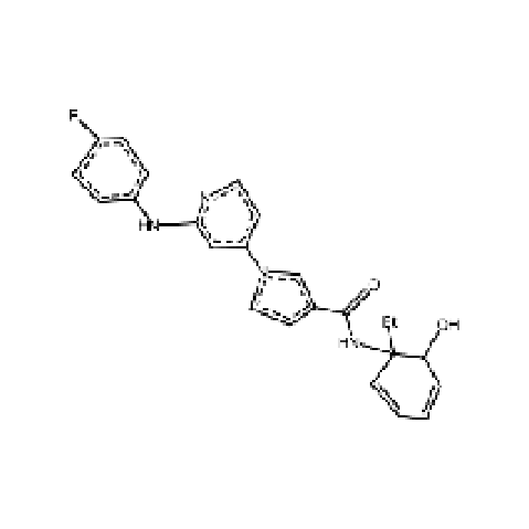 CCC1(NC(=O)c2ccn(-c3ccnc(Nc4ccc(F)cc4)c3)c2)C=CC=CC1O